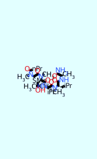 CCCC(=O)N(C)[C@@H](SC)C(=O)N(C)[C@@H](CC(C)(C)O)C(=O)N[C@H](C(=O)N(C)[C@@H](CC(C)C)C(=O)N[C@H](C)C(N)=O)C(C)C